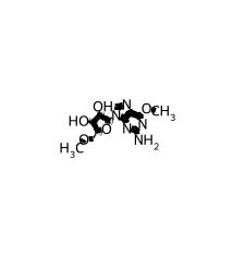 COC[C@H]1O[C@@H](n2cnc3c(OC)nc(N)nc32)[C@H](O)[C@@H]1O